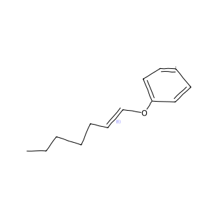 CCCCC/C=C/Oc1cc[c]cc1